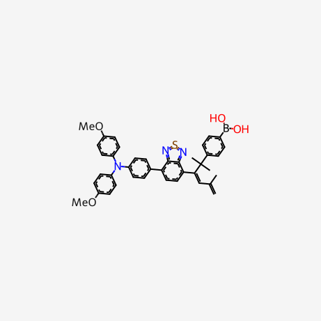 C=C(C)C=C(c1ccc(-c2ccc(N(c3ccc(OC)cc3)c3ccc(OC)cc3)cc2)c2nsnc12)C(C)(C)c1ccc(B(O)O)cc1